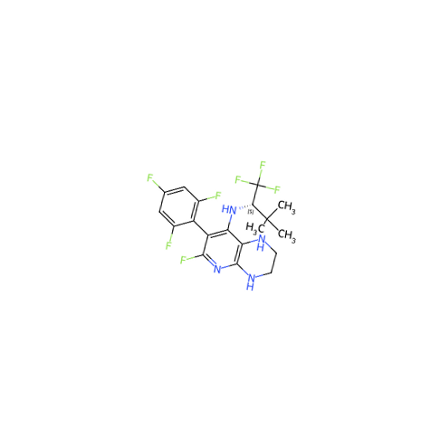 CC(C)(C)[C@H](Nc1c2c(nc(F)c1-c1c(F)cc(F)cc1F)NCCN2)C(F)(F)F